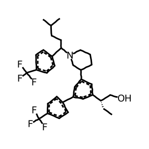 CC[C@@H](CO)c1cc(-c2ccc(C(F)(F)F)cc2)cc(C2CCCN(C(CCC(C)C)c3ccc(C(F)(F)F)cc3)C2)c1